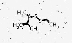 C=C(C)B(C)SSCC